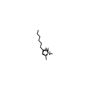 CCCCCCc1cc(C)n(C)n1